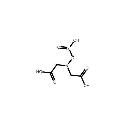 O=C(O)CN(CC(=O)O)O[Si](=O)O